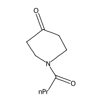 CCCC(=O)N1CCC(=O)CC1